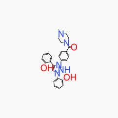 CN1CCN(C(=O)c2ccc(N3NN(c4ccccc4O)C=C3c3ccccc3O)cc2)CC1